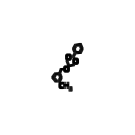 Cc1cccc(COC2COC(c3ccccc3)OC2)c1